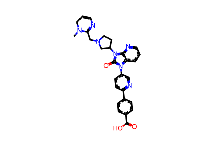 CN1CC=CN=C1CN1CCC(n2c(=O)n(-c3ccc(-c4ccc(C(=O)O)cc4)nc3)c3cccnc32)C1